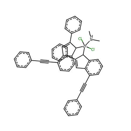 C[SiH](C)[Zr]([Cl])([Cl])([CH]1C(c2ccccc2)=Cc2c(C#Cc3ccccc3)cccc21)[CH]1C(c2ccccc2)=Cc2c(C#Cc3ccccc3)cccc21